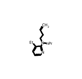 C=CCCN(CCC)c1ncccc1CC